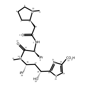 CC(C)[C@H](NC(=O)C[C@H]1CCCN1C)C(=O)N(C)[C@H](C[C@@H](O)c1nc(C(=O)O)cs1)C(C)C